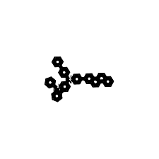 c1ccc(-c2ccc(N(c3ccc(-c4ccc5c(ccc6c7ccccc7ccc56)c4)cc3)c3ccc4c5ccccc5n(-c5ccccc5)c4c3)cc2)cc1